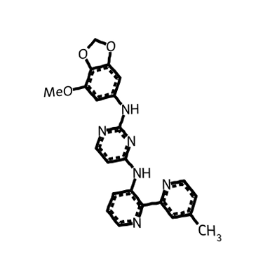 COc1cc(Nc2nccc(Nc3cccnc3-c3cc(C)ccn3)n2)cc2c1OCO2